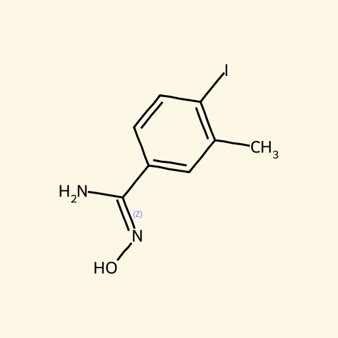 Cc1cc(/C(N)=N/O)ccc1I